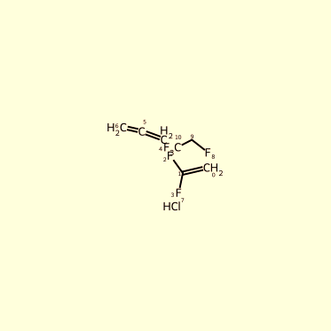 C=C(F)F.C=C=C.Cl.FCC(F)(F)F